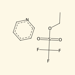 CCOS(=O)(=O)C(F)(F)F.c1ccncc1